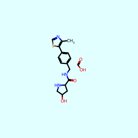 Cc1ncsc1-c1ccc(CNC(=O)C2CC(O)CN2)cc1.O=CO